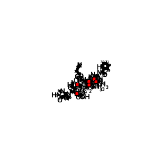 CC(C)(C)[SiH2]O[C@@H]1C2COP(=O)(OCCC#N)O[C@H]3C(n4cnc5c(NC(=O)c6ccccc6)ncnc54)OC(COP(=O)(O)O[C@H]1C(n1cnc4c(=O)[nH]cnc41)O2)[C@H]3O[Si](C)(C)C(C)(C)C